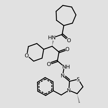 C[C@H]1CSC(=NNC(=O)C(=O)[C@@H](NC(=O)C2CCCCCC2)C2CCOCC2)N1Cc1ccccc1